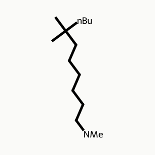 CCCCC(C)(C)CCCCCCNC